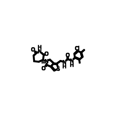 Cc1cc(C)c(NC(=O)NCc2scc3c2CN([C@H]2CCCC(=O)NC2=O)C3=O)cc1Cl